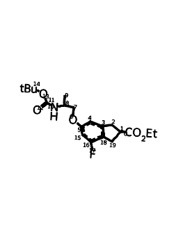 CCOC(=O)C1Cc2cc(OCC(C)NC(=O)OC(C)(C)C)cc(F)c2C1